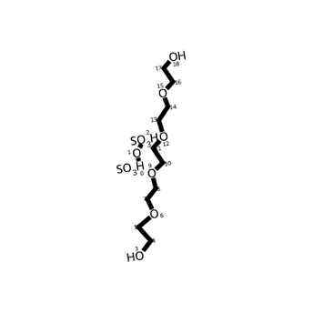 O=S(=O)(O)OS(=O)(=O)O.OCCOCCOCCOCCOCCO